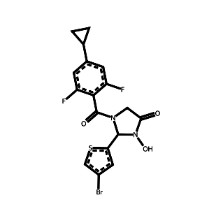 O=C1CN(C(=O)c2c(F)cc(C3CC3)cc2F)C(c2cc(Br)cs2)N1O